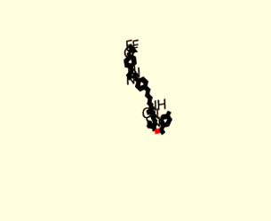 Cc1ccc(C(C)C)c(-n2c(C)cs/c2=N\C(=O)NCCCCc2ccc(-c3ncn(-c4ccc(OC(F)(F)F)cc4)n3)cc2)c1